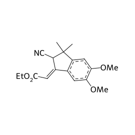 CCOC(=O)C=C1c2cc(OC)c(OC)cc2C(C)(C)C1C#N